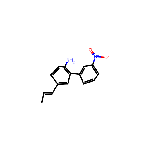 CC=Cc1ccc(N)c(-c2cccc([N+](=O)[O-])c2)c1